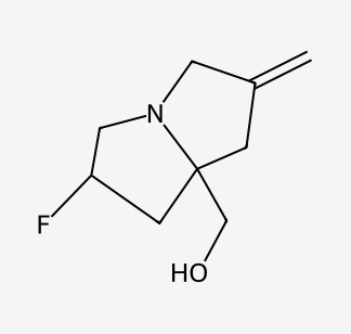 C=C1CN2CC(F)CC2(CO)C1